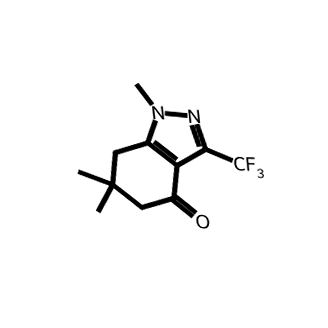 Cn1nc(C(F)(F)F)c2c1CC(C)(C)CC2=O